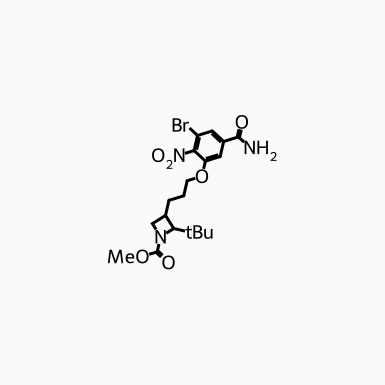 COC(=O)N1CC(CCCOc2cc(C(N)=O)cc(Br)c2[N+](=O)[O-])C1C(C)(C)C